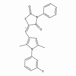 Cc1cc(/C=C2/SC(=O)N(c3ccccc3)C2=O)c(C)n1-c1cccc(F)c1